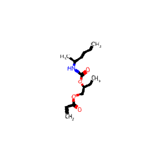 C=CC(=O)OCC(CC)OC(=O)NC(C)CCCC